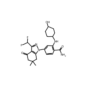 CC1(C)CC(=O)c2c(C(F)F)nn(-c3ccc(C(N)=O)c(NC4CCC(O)CC4)c3)c2C1